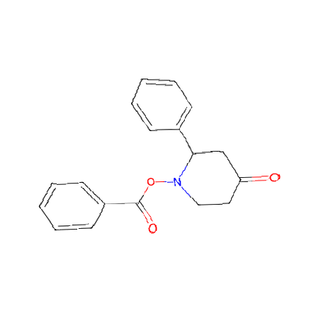 O=C1CCN(OC(=O)c2ccccc2)C(c2ccccc2)C1